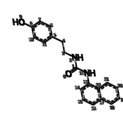 O=C(NCCc1ccc(O)cc1)Nc1cccc2ccccc12